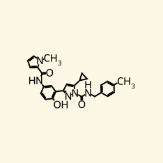 Cc1ccc(CNC(=O)n2nc(-c3cc(NC(=O)c4cccn4C)ccc3O)cc2C2CC2)cc1